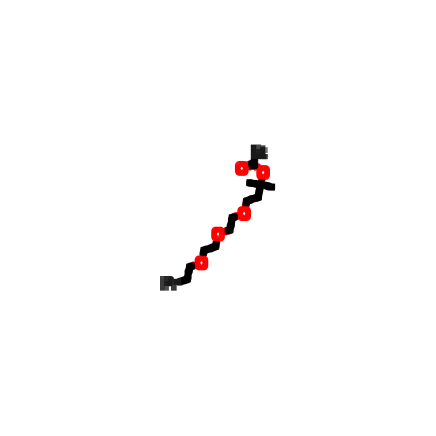 CCC(=O)OC(C)(C)CCOCCOCCOCCC(C)C